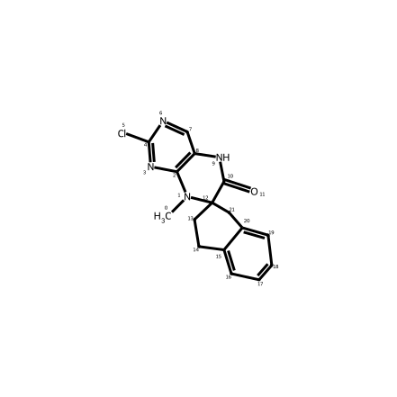 CN1c2nc(Cl)ncc2NC(=O)C12CCc1ccccc1C2